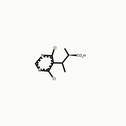 CC(c1c(Cl)ncnc1Cl)[C@@H](C)C(=O)O